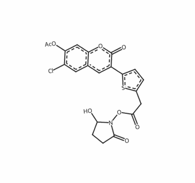 CC(=O)Oc1cc2oc(=O)c(-c3ccc(CC(=O)ON4C(=O)CCC4O)s3)cc2cc1Cl